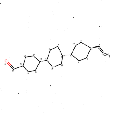 C=C[C@H]1CC[C@H](C2CCC(C3CCC(C=O)CC3)CC2)CC1